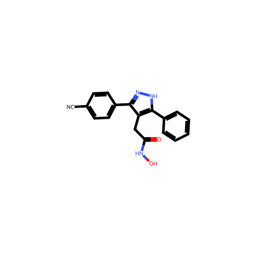 N#Cc1ccc(-c2n[nH]c(-c3ccccc3)c2CC(=O)NO)cc1